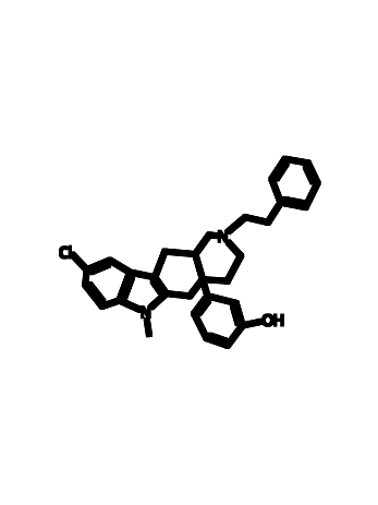 Cn1c2c(c3cc(Cl)ccc31)CC1CN(CCc3ccccc3)CCC1(c1cccc(O)c1)C2